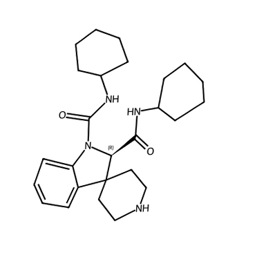 O=C(NC1CCCCC1)[C@@H]1N(C(=O)NC2CCCCC2)c2ccccc2C12CCNCC2